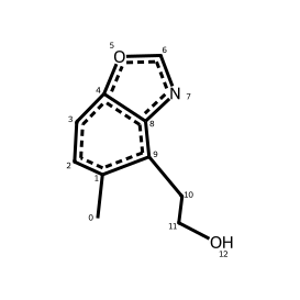 Cc1ccc2ocnc2c1CCO